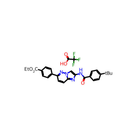 CCOC(=O)c1ccc(-c2ccc3nc(NC(=O)c4ccc(C(C)(C)C)cc4)cn3n2)cc1.O=C(O)C(F)(F)F